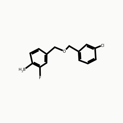 Bc1ccc(COCc2cccc(Cl)c2)cc1F